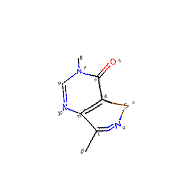 Cc1nsc2c(=O)n(C)cnc12